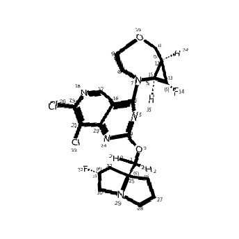 [2H]C([2H])(Oc1nc(N2CCOC[C@H]3[C@H](F)[C@H]32)c2cnc(Cl)c(Cl)c2n1)[C@@]12CCCN1C[C@H](F)C2